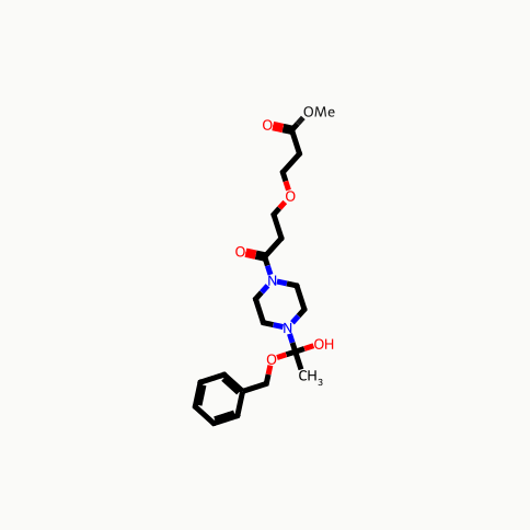 COC(=O)CCOCCC(=O)N1CCN(C(C)(O)OCc2ccccc2)CC1